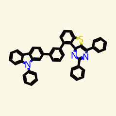 c1ccc(-c2nc(-c3ccccc3)c3sc4cccc(-c5cccc(-c6ccc7c8ccccc8n(-c8ccccc8)c7c6)c5)c4c3n2)cc1